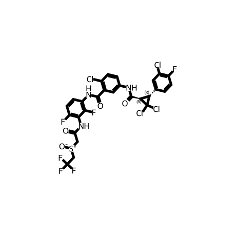 O=C(C[S+]([O-])CC(F)(F)F)Nc1c(F)ccc(NC(=O)c2cc(NC(=O)[C@H]3[C@H](c4ccc(F)c(Cl)c4)C3(Cl)Cl)ccc2Cl)c1F